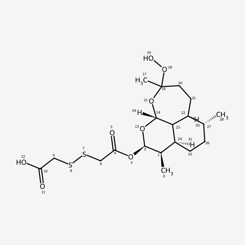 C[C@H]1[C@@H](OC(=O)CSSCC(=O)O)O[C@@H]2OC(C)(OO)CC[C@@H]3C2[C@H]1CC[C@H]3C